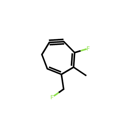 CC1=C(F)C#CCC=C1CF